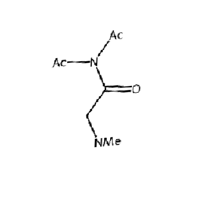 CNCC(=O)N(C(C)=O)C(C)=O